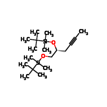 CC#CC[C@H](CO[Si](C)(C)C(C)(C)C)O[Si](C)(C)C(C)(C)C